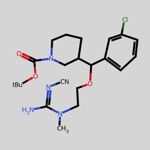 CN(CCOC(c1cccc(Cl)c1)C1CCCN(C(=O)OC(C)(C)C)C1)C(N)=NC#N